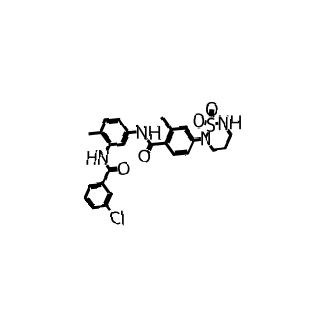 Cc1ccc(NC(=O)c2ccc(N3CCCNS3(=O)=O)cc2C)cc1NC(=O)c1cccc(Cl)c1